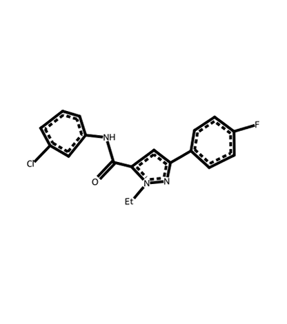 CCn1nc(-c2ccc(F)cc2)cc1C(=O)Nc1cccc(Cl)c1